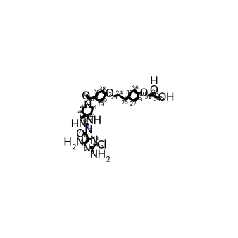 Nc1nc(N)c(C(=O)/N=C2\NCC3(CCN(C(=O)c4ccc(OCCCc5ccc(OC[C@@H](O)CO)cc5)cc4)CC3)N2)nc1Cl